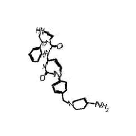 NC1CCN(Cc2ccc(-n3ccc(NC(=O)N4CCNC[C@@H]4c4ccccc4)nc3=O)cc2)CC1